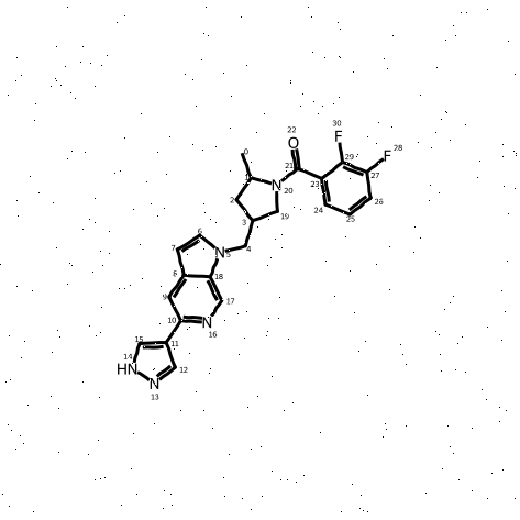 CC1CC(Cn2ccc3cc(-c4cn[nH]c4)ncc32)CN1C(=O)c1cccc(F)c1F